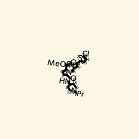 COC(=O)c1ccc(C(=O)NC2CCN(C(C)C)CC2)n1Cc1cc(-c2ccc(Cl)s2)on1